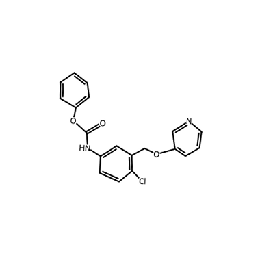 O=C(Nc1ccc(Cl)c(COc2cccnc2)c1)Oc1ccccc1